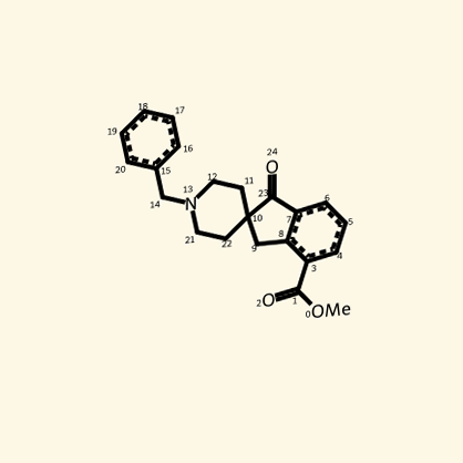 COC(=O)c1cccc2c1CC1(CCN(Cc3ccccc3)CC1)C2=O